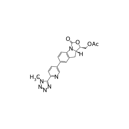 CC(=O)OC[C@@H]1OC(=O)N2c3ccc(-c4ccc(-c5nnnn5C)nc4)cc3C[C@@H]12